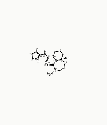 N[C@H]1CCS[C@H]2CCC[C@@H](C(=O)Nc3nccs3)N2C1=O